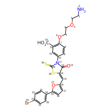 NCCOCCOc1ccc(N2C(=O)C(=Cc3ccc(-c4ccc(Br)cc4)o3)SC2=S)cc1C(=O)O